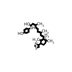 CC1=C(/C=C/C(C)=C/C=C/C(C)=C\C(O)=[SH]c2ccc(O)cc2)C(C)(C)CCC1c1cscn1